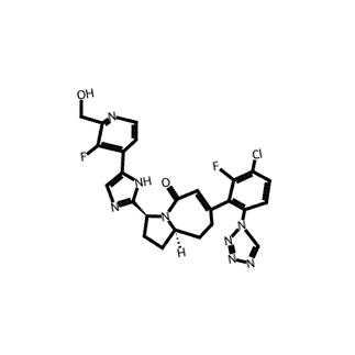 O=C1C=C(c2c(-n3cnnn3)ccc(Cl)c2F)CC[C@H]2CC[C@@H](c3ncc(-c4ccnc(CO)c4F)[nH]3)N12